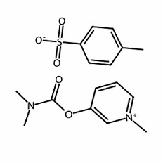 CN(C)C(=O)Oc1ccc[n+](C)c1.Cc1ccc(S(=O)(=O)[O-])cc1